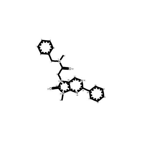 CN(Cc1ccccc1)C(=O)Cn1c(=O)n(C)c2nc(-c3ccccc3)ncc21